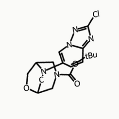 CC(C)(C)OC(=O)N1CC2CN(c3ccc4nc(Cl)nn4c3)C(CO2)C1